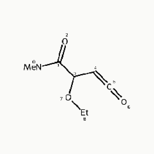 [CH2]NC(=O)C(C=C=O)OCC